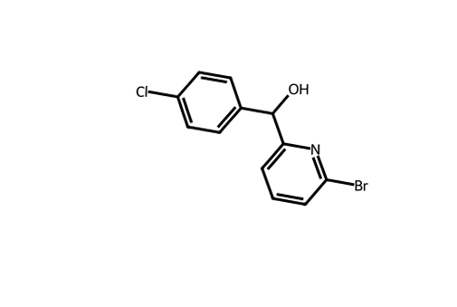 OC(c1ccc(Cl)cc1)c1cccc(Br)n1